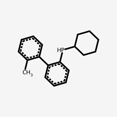 Cc1ccccc1-c1ccccc1PC1CCCCC1